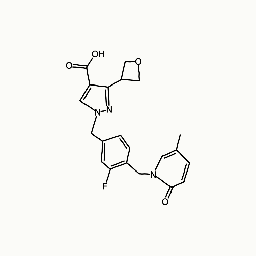 Cc1ccc(=O)n(Cc2ccc(Cn3cc(C(=O)O)c(C4COC4)n3)cc2F)c1